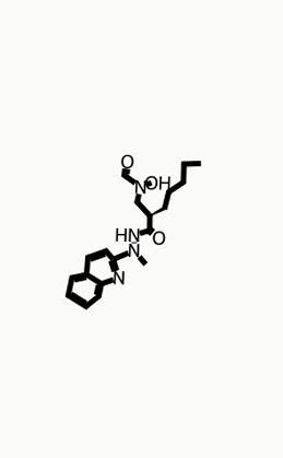 CCCCC[C@H](CN(O)C=O)C(=O)NN(C)c1ccc2ccccc2n1